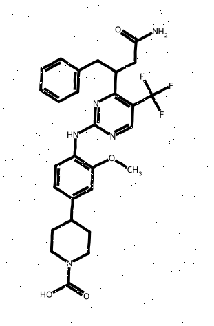 COc1cc(C2CCN(C(=O)O)CC2)ccc1Nc1ncc(C(F)(F)F)c(C(CC(N)=O)Cc2ccccc2)n1